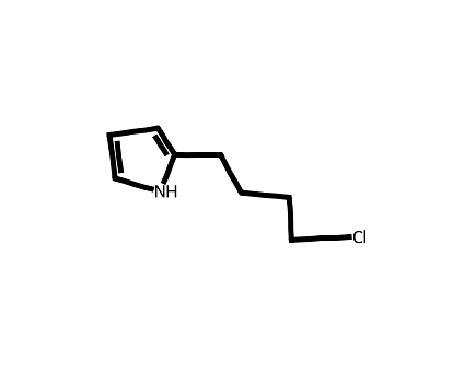 ClCCCCc1ccc[nH]1